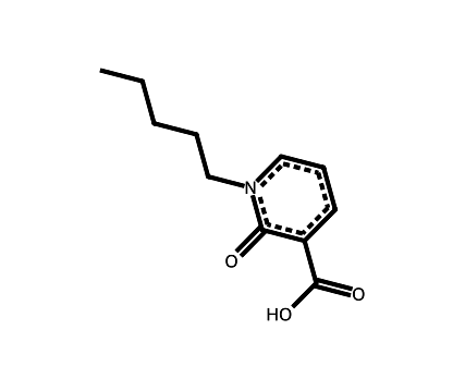 CCCCCn1cccc(C(=O)O)c1=O